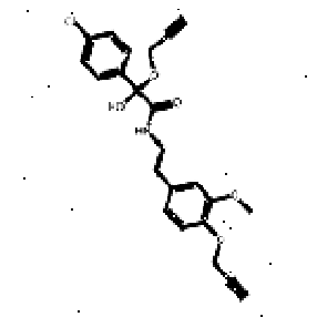 C#CCOc1ccc(CCNC(=O)C(O)(OCC#C)c2ccc(Cl)cc2)cc1OC